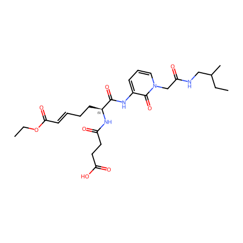 CCOC(=O)C=CCC[C@H](NC(=O)CCC(=O)O)C(=O)Nc1cccn(CC(=O)NCC(C)CC)c1=O